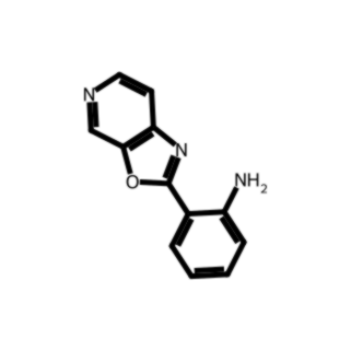 Nc1ccccc1-c1nc2ccncc2o1